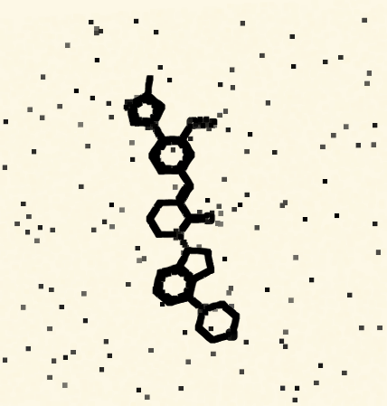 COc1cc(/C=C2\CCCN([C@@H]3CCc4c3cccc4N3CCOCC3)C2=O)ccc1-n1cnc(C)c1